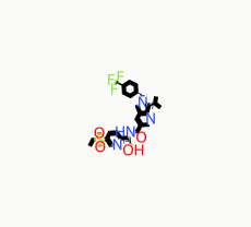 CCS(=O)(=O)c1ccc([C@@H](CO)NC(=O)c2cnc3c(c2)CN(C[C@H]2CC[C@H](C(F)(F)F)CC2)[C@H]3C(C)C)nc1